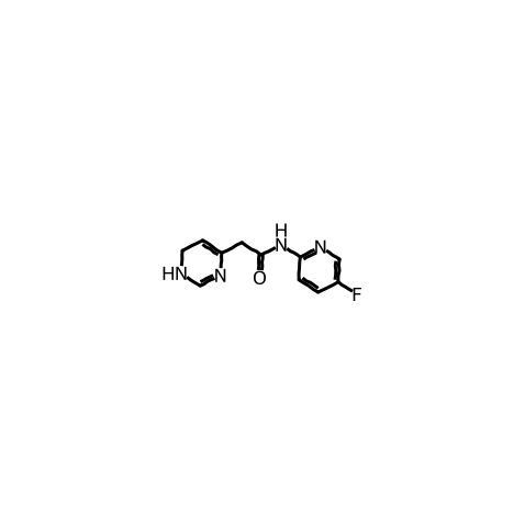 O=C(CC1=CCNC=N1)Nc1ccc(F)cn1